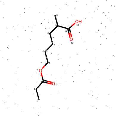 CCC(=O)OCCCCC(C)C(=O)O